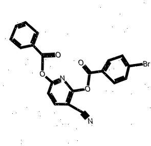 N#Cc1ccc(OC(=O)c2ccccc2)nc1OC(=O)c1ccc(Br)cc1